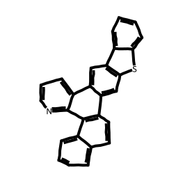 c1ccc2c(c1)ccc1c3cc4sc5ccccc5c4cc3c3cccnc3c21